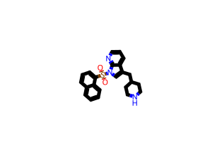 O=S(=O)(c1cccc2ccccc12)n1cc(CC2CCNCC2)c2cccnc21